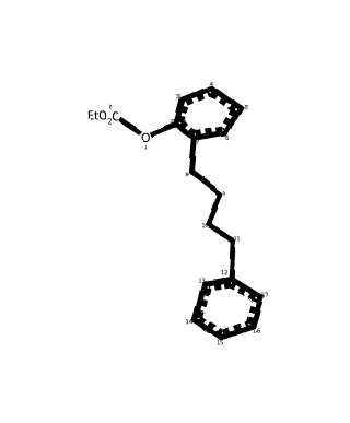 CCOC(=O)Oc1ccccc1CCCCc1ccccc1